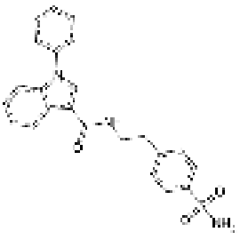 NS(=O)(=O)c1ccc(CCNC(=O)c2cn(-c3ccccc3)c3ccccc23)cc1